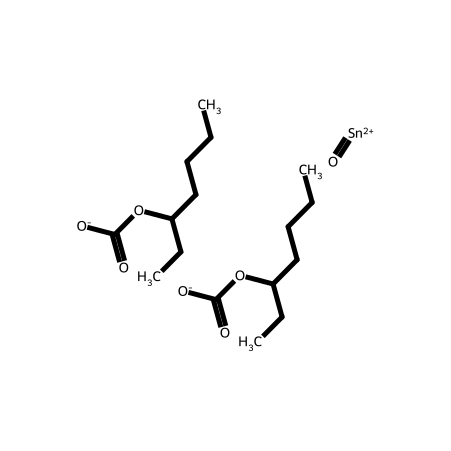 CCCCC(CC)OC(=O)[O-].CCCCC(CC)OC(=O)[O-].[O]=[Sn+2]